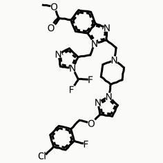 COC(=O)c1ccc2nc(CN3CCC(n4ccc(OCc5ccc(Cl)cc5F)n4)CC3)n(Cc3cncn3C(F)F)c2c1